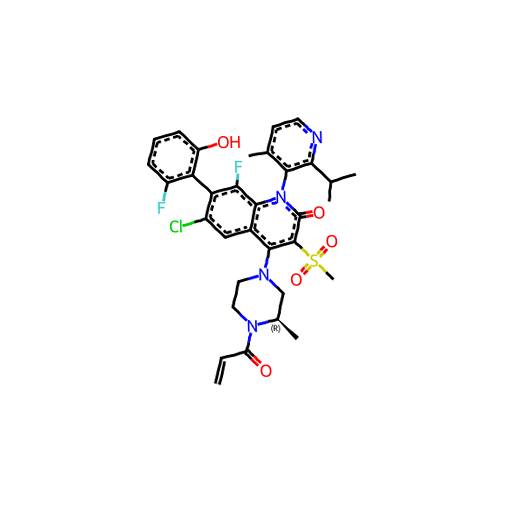 C=CC(=O)N1CCN(c2c(S(C)(=O)=O)c(=O)n(-c3c(C)ccnc3C(C)C)c3c(F)c(-c4c(O)cccc4F)c(Cl)cc23)C[C@H]1C